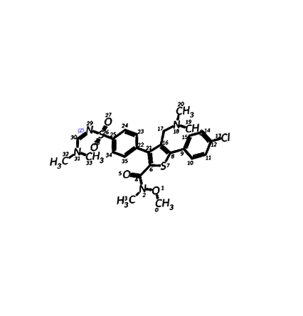 CON(C)C(=O)c1sc(-c2ccc(Cl)cc2)c(CN(C)C)c1-c1ccc(S(=O)(=O)/N=C\N(C)C)cc1